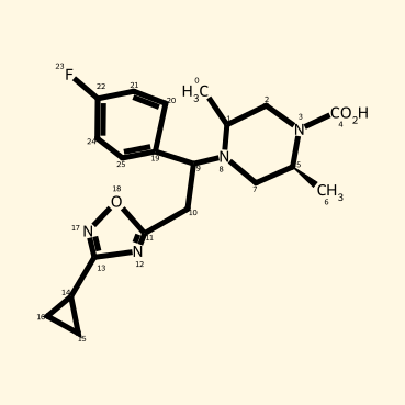 CC1CN(C(=O)O)[C@@H](C)CN1C(Cc1nc(C2CC2)no1)c1ccc(F)cc1